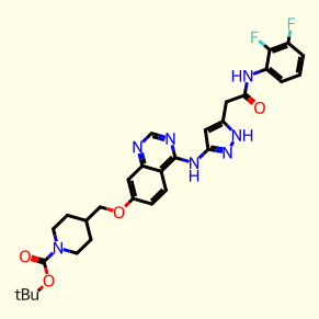 CC(C)(C)OC(=O)N1CCC(COc2ccc3c(Nc4cc(CC(=O)Nc5cccc(F)c5F)[nH]n4)ncnc3c2)CC1